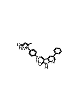 Cc1cc(=O)[nH]n1-c1ccc(NC=C2C(=O)Nc3ncc(-c4ccccc4)cc32)cc1